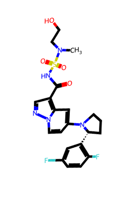 CN(CCO)S(=O)(=O)NC(=O)c1cnn2ccc(N3CCC[C@@H]3c3cc(F)ccc3F)cc12